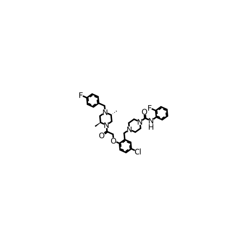 C[C@@H]1CN(C(=O)COc2ccc(Cl)cc2CN2CCN(C(=O)Nc3ccccc3F)CC2)[C@@H](C)CN1Cc1ccc(F)cc1